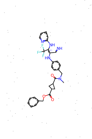 CN(Cc1ccc(N/C(C=N)=C(/Nc2ccccn2)C(F)(F)F)cc1)C(=O)C1CC(C(=O)OCc2ccccc2)C1